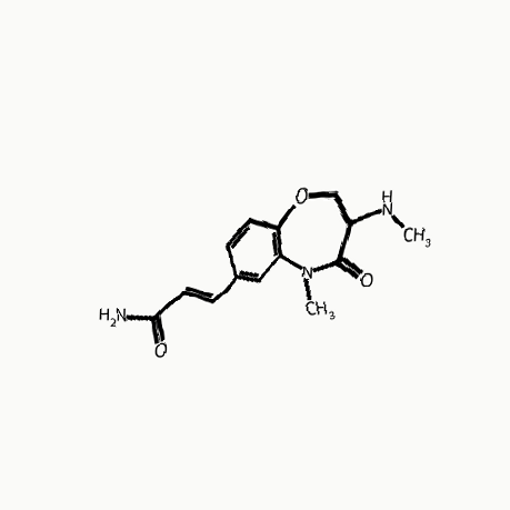 CNC1COc2ccc(/C=C/C(N)=O)cc2N(C)C1=O